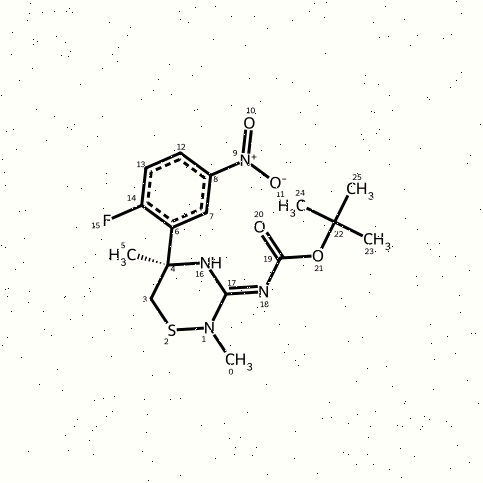 CN1SC[C@@](C)(c2cc([N+](=O)[O-])ccc2F)N/C1=N\C(=O)OC(C)(C)C